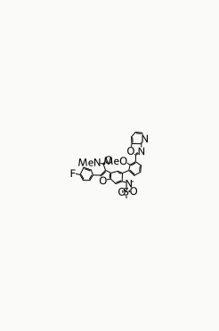 CNC(=O)c1c(-c2ccc(F)cc2)oc2cc(N(C)S(C)(=O)=O)c(-c3cccc(-c4nc5ncccc5o4)c3OC)cc12